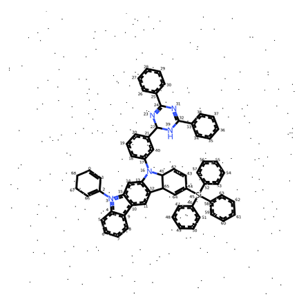 C1=CC(n2c3ccccc3c3cc4c(cc32)N(c2cccc(C3N=C(c5ccccc5)N=C(c5ccccc5)N3)c2)C2C=CC([Si](c3ccccc3)(c3ccccc3)c3ccccc3)=CC42)=CCC1